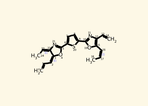 C=C/C=c1/oc(-c2ccc(-c3nc(C=C)c(/C=C\C)o3)s2)n/c1=C/C